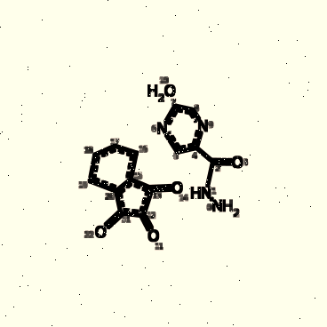 NNC(=O)c1cnccn1.O.O=c1c(=O)c2ccccc2c1=O